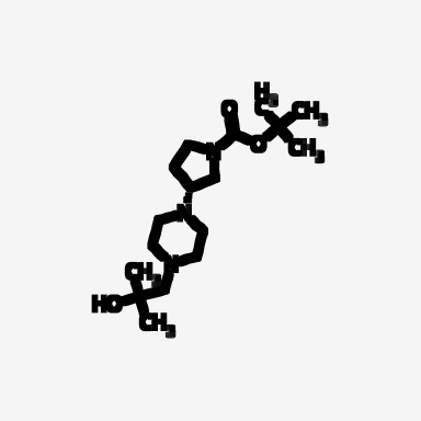 CC(C)(O)CN1CCN([C@@H]2CCN(C(=O)OC(C)(C)C)C2)CC1